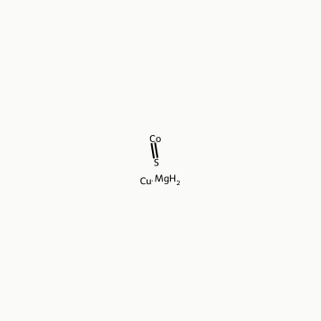 [Cu].[MgH2].[S]=[Co]